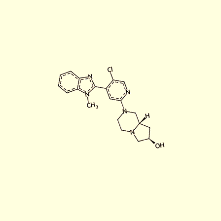 Cn1c(-c2cc(N3CCN4C[C@H](O)C[C@H]4C3)ncc2Cl)nc2ccccc21